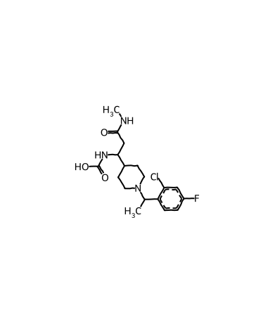 CNC(=O)CC(NC(=O)O)C1CCN(C(C)c2ccc(F)cc2Cl)CC1